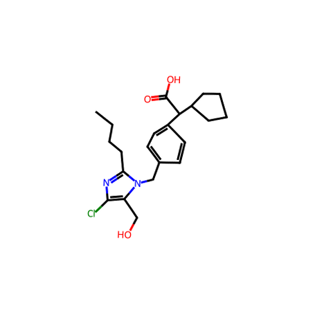 CCCCc1nc(Cl)c(CO)n1Cc1ccc(C(C(=O)O)C2CCCC2)cc1